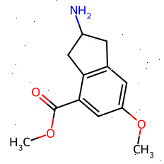 COC(=O)c1cc(OC)cc2c1CC(N)C2